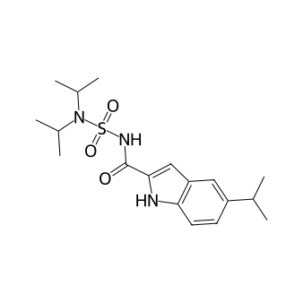 CC(C)c1ccc2[nH]c(C(=O)NS(=O)(=O)N(C(C)C)C(C)C)cc2c1